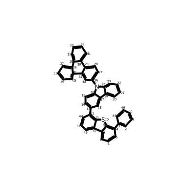 c1ccc(-c2cccc3c2sc2c(-c4ccc5c(c4)c4ccccc4n5-c4ccc5c6ccccc6c6ccccc6c5c4)cccc23)cc1